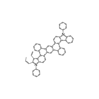 C=Cc1c(/C=C\C)n(-c2ccccc2)c2ccc3c4cc5c6ccccc6c6c(ccc7c6c6ccccc6n7-c6ccccc6)c5cc4c4ccccc4c3c12